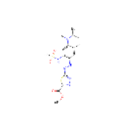 CCCOC(=O)c1nnc(N=Nc2cc3c(cc2NS(=O)(=O)C(F)(F)F)N(CC)C(CC)CC3)s1